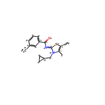 Cc1c(C(C)C)s/c(=N\C(=O)c2cccc(C(F)(F)F)c2)n1CC1CC1